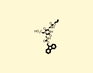 C=CCOC(=O)NC[C@@H]1NC(=O)[C@H](CNC(=O)OCC2c3ccccc3-c3ccccc32)N(CC(=O)O)C1=O